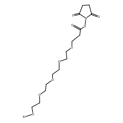 CCOCCOCCOCCOCCOCCC(=O)ON1C(=O)CCC1=O